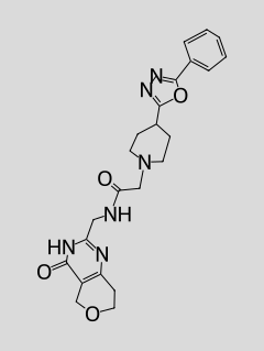 O=C(CN1CCC(c2nnc(-c3ccccc3)o2)CC1)NCc1nc2c(c(=O)[nH]1)COCC2